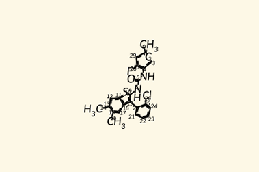 Cc1ccc(NC(=O)Nc2sc3cc(C)c(C)cc3c2-c2ccccc2Cl)c(F)c1